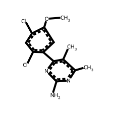 COc1cc(-c2nc(N)nc(C)c2C)c(Cl)cc1Cl